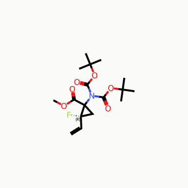 C=C[C@]1(F)CC1(C(=O)OC)N(C(=O)OC(C)(C)C)C(=O)OC(C)(C)C